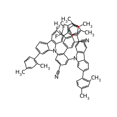 Cc1ccc(-c2ccc3c4ccc(-c5ccc(C)cc5C)cc4n(-c4cc(C#N)cc(-n5c6cc(-c7ccc(C)cc7C)ccc6c6ccc(-c7ccc(C)cc7C)cc65)c4-c4cc(C#N)cc(C(F)(F)F)c4)c3c2)c(C)c1